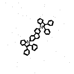 c1ccc(-c2c(-c3ccccc3)n(-c3ccc4c(ccc5cc(-n6c(-c7ccccc7)c(-c7ccccc7)c7ccccc76)ccc54)c3)c3ccccc23)cc1